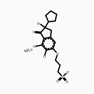 CCC1(C2CCCC2)Cc2cc(OCCCS(=O)(=O)[O-])c(Cl)c(Cl)c2C1=O.O.[Na+]